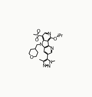 Cc1nnn(C)c1-c1cnc2c3c(OC(C)C)ncc(S(C)(=O)=O)c3n(CC3CCOCC3)c2c1